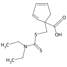 CCN(CC)C(=S)SCC1(C(=O)O)C=CC=CC1